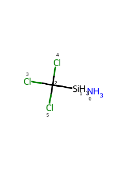 N.[SiH3]C(Cl)(Cl)Cl